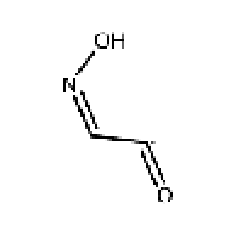 O=[C]/C=N\O